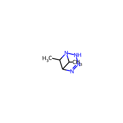 CC1C2N=NNN1C2C